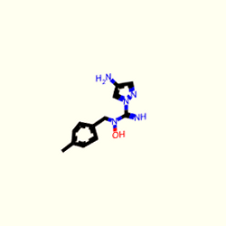 Cc1ccc(CN(O)C(=N)n2cc(N)cn2)cc1